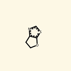 c1nc2c(s1)OCC2